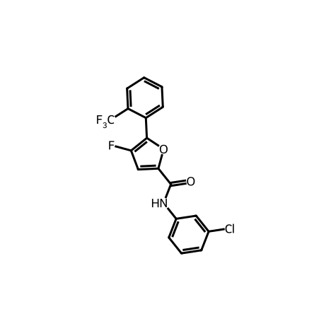 O=C(Nc1cccc(Cl)c1)c1cc(F)c(-c2ccccc2C(F)(F)F)o1